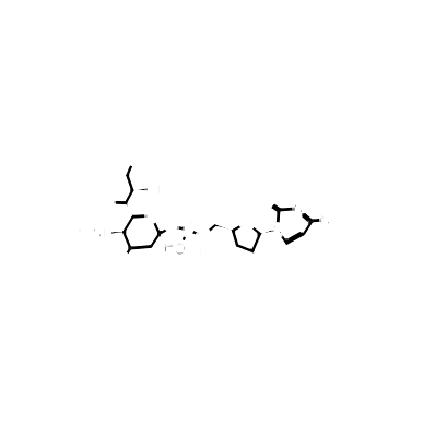 CC(=O)N[C@@H]1C(O)C[C@@](OP(=O)(O)OC[C@H]2O[C@@H](n3ccc(N)nc3=O)[C@H](O)[C@@H]2O)(C(=O)O)O[C@H]1C(O)[C@H](O)CO